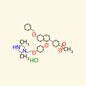 CC1CN(CCOc2ccc(Oc3c(-c4ccc(S(C)(=O)=O)cc4)ccc4cc(OCc5ccccc5)ccc34)cc2)C(C)CN1.Cl